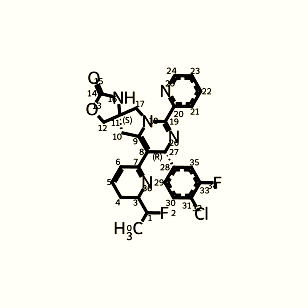 CC(F)C1CC=CC(C2=C3C[C@@]4(COC(=O)N4)CN3C(c3ccccn3)=N[C@@H]2c2ccc(Cl)c(F)c2)=N1